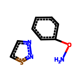 NOc1ccccc1.c1csnn1